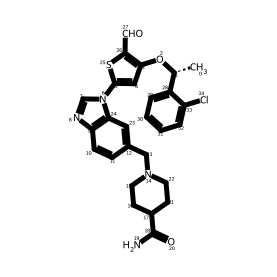 C[C@@H](Oc1cc(-n2cnc3ccc(CN4CCC(C(N)=O)CC4)cc32)sc1C=O)c1ccccc1Cl